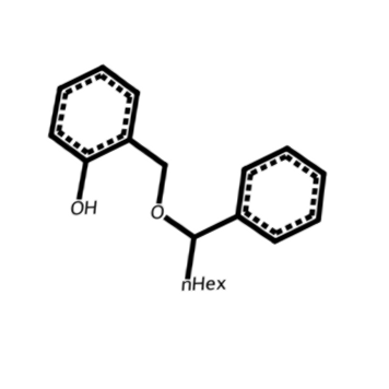 CCCCCCC(OCc1ccccc1O)c1ccccc1